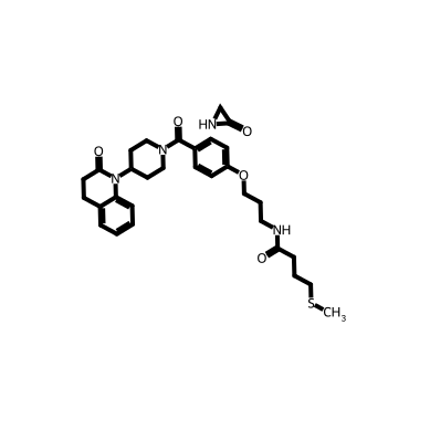 CSCCCC(=O)NCCCOc1ccc(C(=O)N2CCC(N3C(=O)CCc4ccccc43)CC2)cc1.O=C1CN1